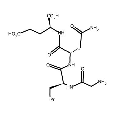 CC(C)C[C@H](NC(=O)CN)C(=O)N[C@@H](CC(N)=O)C(=O)N[C@@H](CCC(=O)O)C(=O)O